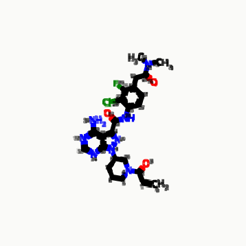 C=CC(=O)N1CCCC(n2nc(C(=O)Nc3ccc(CC(=O)N(C)C)c(F)c3Cl)c3c(N)ncnc32)C1